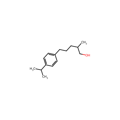 CC(CO)CCCc1ccc(C(C)C)cc1